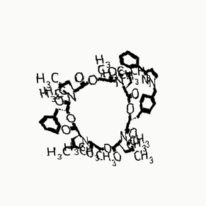 CC(C)C[C@H]1C(=O)O[C@H](Cc2ccc(Cn3ccc(-c4ccccc4)n3)cc2)C(=O)N(C)[C@@H](CC(C)C)C(=O)O[C@H](C)C(=O)N(C)[C@@H](CC(C)C)C(=O)O[C@H](Cc2ccccc2)C(=O)N(C)[C@@H](CC(C)C)C(=O)O[C@H](C)C(=O)N1C